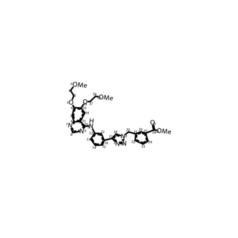 COCCOc1cc2ncnc(Nc3cccc(-c4cn(Cc5cccc(C(=O)OC)c5)nn4)c3)c2cc1OCCOC